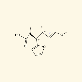 CO/C=C/[C@@H](C)[C@@H](c1ccco1)N(C)C(=O)O